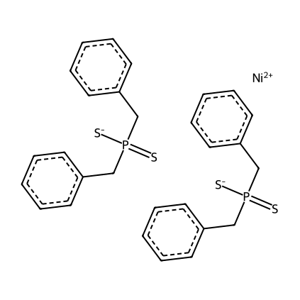 S=P([S-])(Cc1ccccc1)Cc1ccccc1.S=P([S-])(Cc1ccccc1)Cc1ccccc1.[Ni+2]